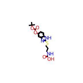 CC(C)(C)OC(=O)Oc1ccc2[nH]c(SCCCNC(=O)O)nc2c1